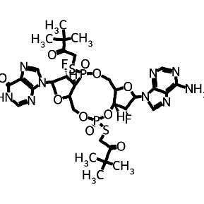 CC(C)(C)C(=O)CSP1(=O)OCC2OC(n3cnc4c(=O)[nH]cnc43)[C@H](F)[C@@H]2P(=O)(SCC(=O)C(C)(C)C)OCC2OC(n3cnc4c(N)ncnc43)[C@H](F)[C@@H]2O1